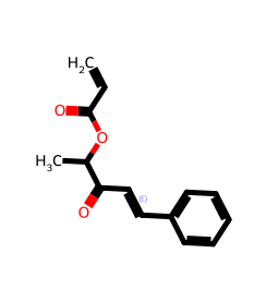 C=CC(=O)OC(C)C(=O)/C=C/c1ccccc1